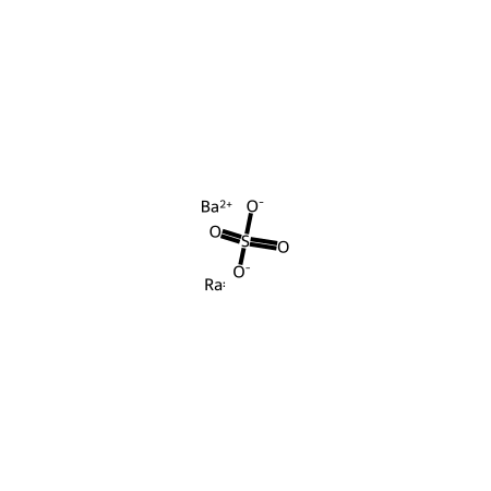 O=S(=O)([O-])[O-].[Ba+2].[Ra]